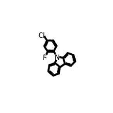 Fc1cc(Cl)ccc1-n1c2ccccc2c2ccccc21